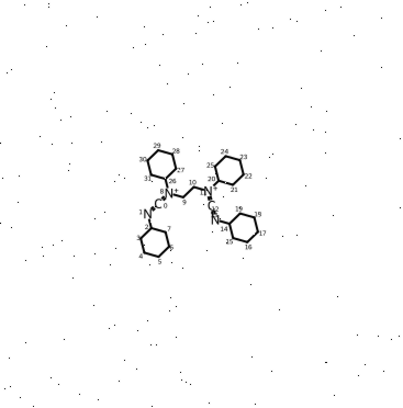 C(=NC1CCCCC1)=[N+](CC[N+](=C=NC1CCCCC1)C1CCCCC1)C1CCCCC1